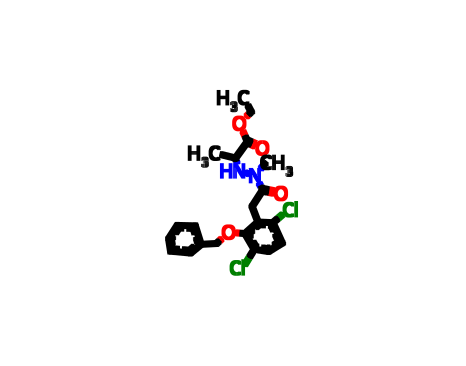 CCOC(=O)C(C)NN(C)C(=O)Cc1c(Cl)ccc(Cl)c1OCc1ccccc1